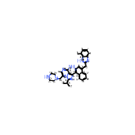 Cc1cccc2nc(Cc3ccc(-c4nc(C(C)C)n5c(CN6CCNCC6)cnc(N)c45)c4ccccc34)[nH]c12